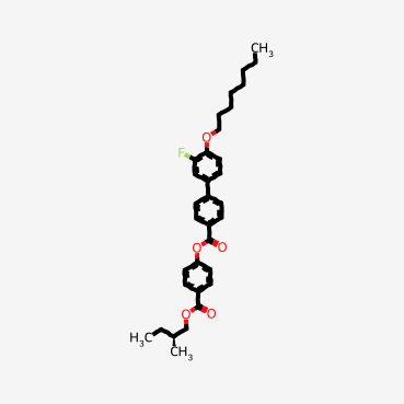 CCCCCCCCOc1ccc(-c2ccc(C(=O)Oc3ccc(C(=O)OC[C@@H](C)CC)cc3)cc2)cc1F